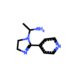 CC(N)N1CCN=C1c1ccncc1